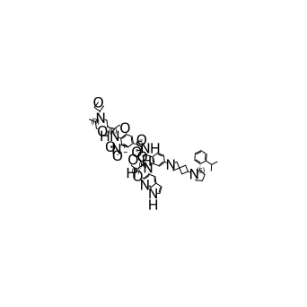 CC(C)c1ccccc1[C@@H]1CCCN1C1CC2(C1)CN(c1ccc(C(=O)NS(=O)(=O)c3cc4c(c([N+](=O)[O-])c3)N[C@@H](C3CN(C5COC5)[C@H](C)CO3)CO4)c(N3c4cc5cc[nH]c5nc4O[C@@H]4COC[C@H]43)c1)C2